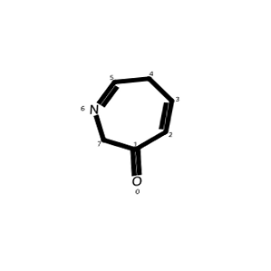 O=C1C=CCC=NC1